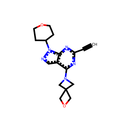 C#Cc1nc(N2CC3(COC3)C2)c2cnn(C3CCOCC3)c2n1